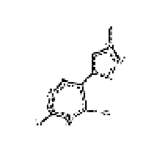 Cn1cc(-c2cnc(Cl)nc2Cl)nn1